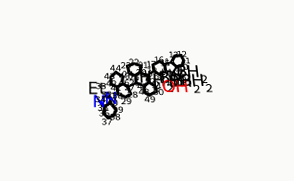 BC(B)(B)C1(C(B)(B)O)c2ccccc2-c2ccc(-c3c4ccccc4c(-c4ccc(-n5c(CC)nc6ccccc65)c5ccccc45)c4ccccc34)cc21